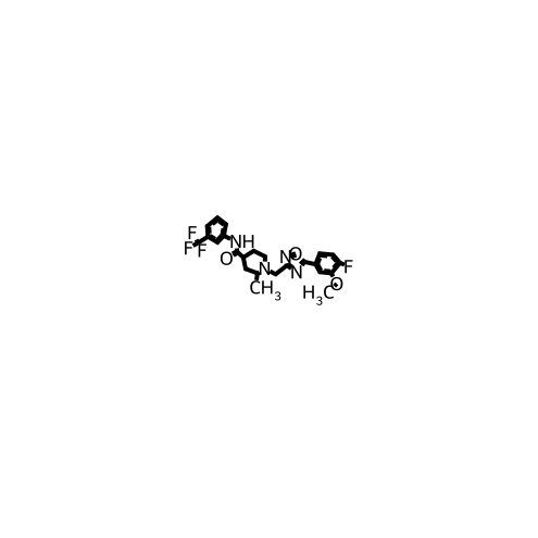 COc1cc(-c2nc(CN3CCC(C(=O)Nc4cccc(C(F)(F)F)c4)CC3C)no2)ccc1F